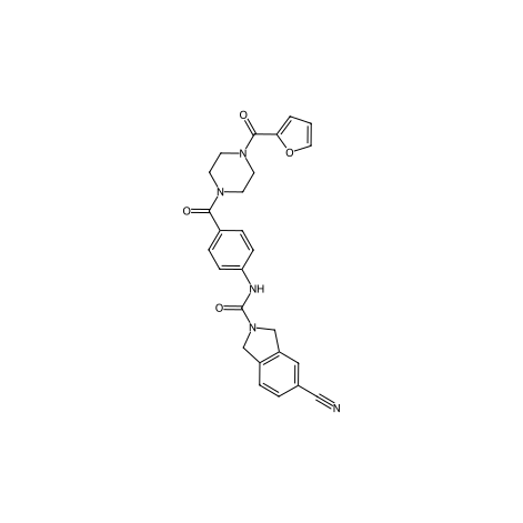 N#Cc1ccc2c(c1)CN(C(=O)Nc1ccc(C(=O)N3CCN(C(=O)c4ccco4)CC3)cc1)C2